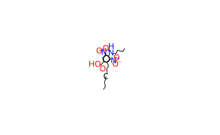 CCCCCCCCc1c(C(=O)O)cc([N+](=O)[O-])c(NCCCC)c1[N+](=O)[O-]